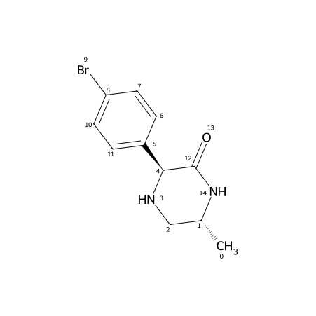 C[C@@H]1CN[C@@H](c2ccc(Br)cc2)C(=O)N1